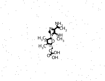 C=C(N)c1ncn([C@@H]2O[C@H](COP(=O)(O)O)[C@@H](C)[C@H]2C)c1NC